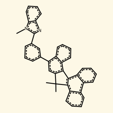 Cn1c(-c2cccc(-c3cc4c(c5ccccc35)-c3c(c5ccccc5c5ccccc35)C4(C)C)c2)nc2ccccc21